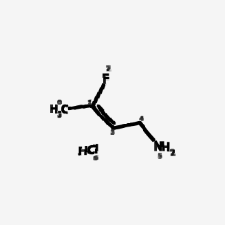 CC(F)=CCN.Cl